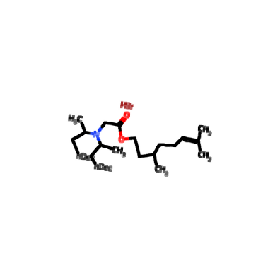 Br.CCCCCCCCCCCC(C)N(CC(=O)OCCC(C)CCC=C(C)C)C(C)CCCCCCCCCCC